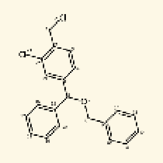 ClCc1ccc(C(OCc2ccccc2)c2ccccc2)cc1Cl